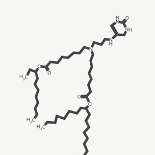 CCCCCCCCC(CC)OC(=O)CCCCCCCN(CCCCCCCC(=O)OC(CCCCCCCC)CCCCCCCC)CCCNC1=CNC(=O)NC1